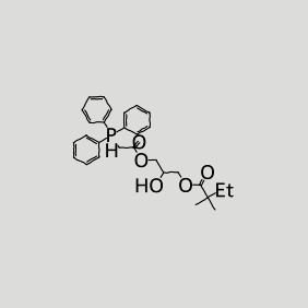 CCC(C)(C)C(=O)OCC(O)COC(=O)C[PH](c1ccccc1)(c1ccccc1)c1ccccc1